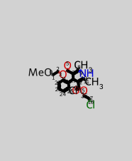 COCCOC(=O)C1=C(C)NC(C)=C(C(=O)OCCCl)C1c1ccccc1C(F)(F)F